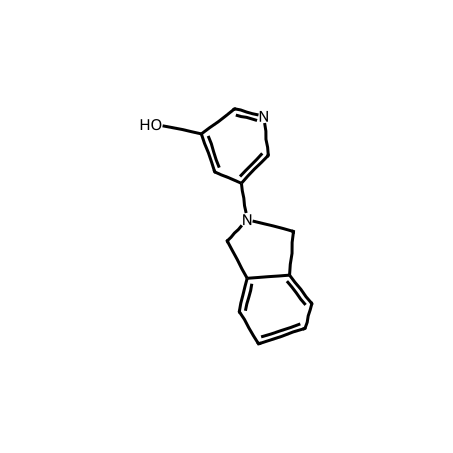 Oc1cncc(N2Cc3ccccc3C2)c1